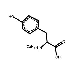 NC(Cc1ccc(O)cc1)C(=O)O.[CaH2]